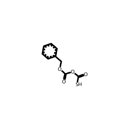 O=C(S)OC(=O)OCc1ccccc1